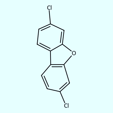 Clc1ccc2c(c1)oc1cc(Cl)ccc12